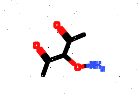 CC(=O)C(ON)C(C)=O